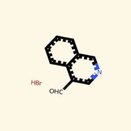 Br.O=Cc1cncc2ccccc12